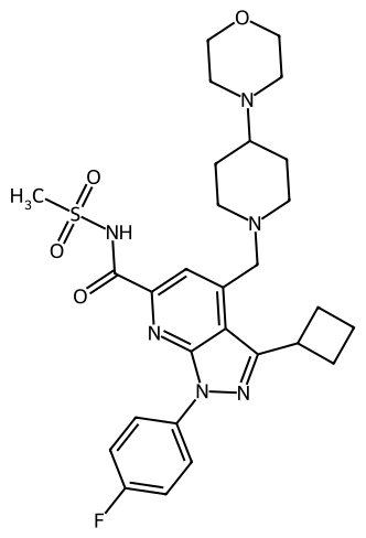 CS(=O)(=O)NC(=O)c1cc(CN2CCC(N3CCOCC3)CC2)c2c(C3CCC3)nn(-c3ccc(F)cc3)c2n1